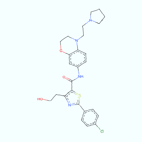 O=C(Nc1ccc2c(c1)OCCN2CCN1CCCC1)c1sc(-c2ccc(Cl)cc2)nc1CCO